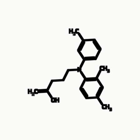 C=C(O)CCCN(c1cccc(C)c1)c1ccc(C)cc1C